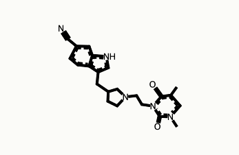 Cc1cn(C)c(=O)n(CCN2CCC(Cc3c[nH]c4cc(C#N)ccc34)C2)c1=O